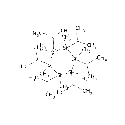 CC(C)[Si]1(C)[Si](C)(C(C)C)[Si](C)(C(C)C)[Si](C)(C(C)C)[Si](C)(C(C)C)[Si]1(C)C(C)C